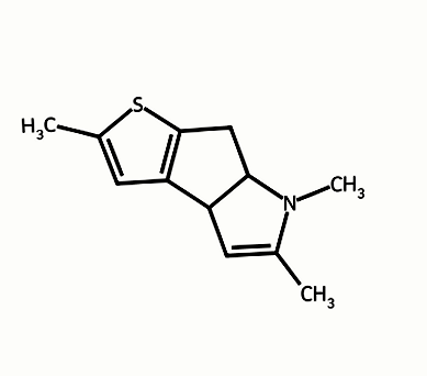 CC1=CC2c3cc(C)sc3CC2N1C